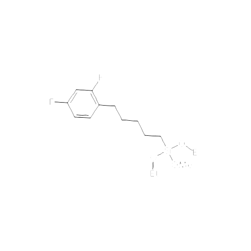 CCO[Si](CCCCCc1ccc(F)cc1F)(OC)OCC